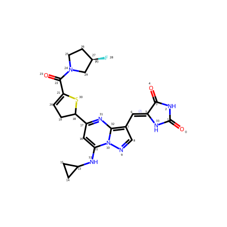 O=C1NC(=O)/C(=C/c2cnn3c(NC4CC4)cc(C4CC=C(C(=O)N5CC[C@@H](F)C5)S4)nc23)N1